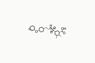 Cc1cc(S(=O)(=O)NCCc2ccc(Oc3cccnc3)cc2)cc(C(=O)O)c1C